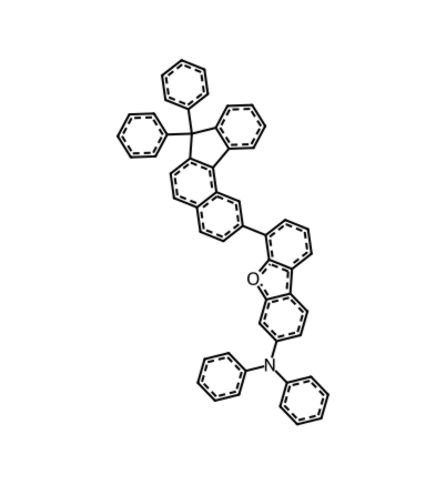 c1ccc(N(c2ccccc2)c2ccc3c(c2)oc2c(-c4ccc5ccc6c(c5c4)-c4ccccc4C6(c4ccccc4)c4ccccc4)cccc23)cc1